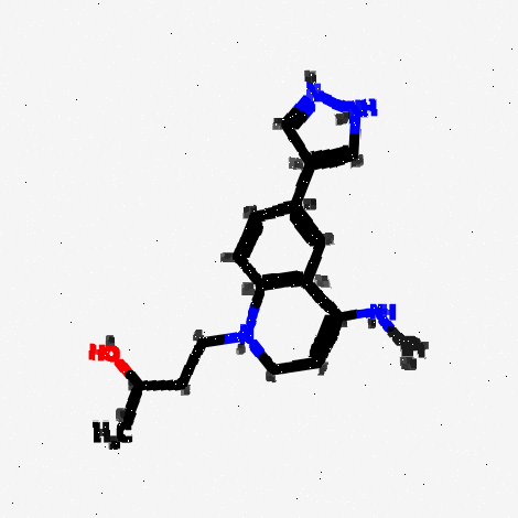 CC(O)CCN1CC=C(NC(C)C)c2cc(-c3cn[nH]c3)ccc21